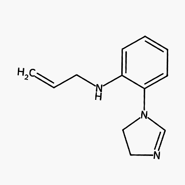 C=CCNc1ccccc1N1C=NCC1